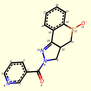 O=C(c1cccnc1)N1CC2C[S+]([O-])c3ccccc3C2=N1